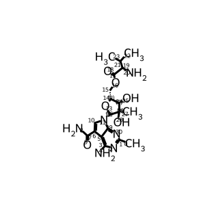 Cc1nc(N)c2c(C(N)=O)cn([C@@H]3O[C@H](COC(=O)C(N)C(C)C)[C@@H](O)[C@@]3(C)O)c2n1